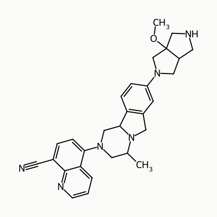 COC12CNCC1CN(c1ccc3c(c1)CN1C(C)CN(c4ccc(C#N)c5ncccc45)CC31)C2